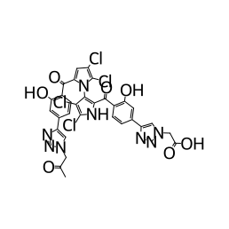 CC(=O)Cn1cc(-c2ccc(C(=O)c3cc(Cl)c(Cl)n3-c3c(C(=O)c4ccc(-c5cn(CC(=O)O)nn5)cc4O)[nH]c(Cl)c3Cl)c(O)c2)nn1